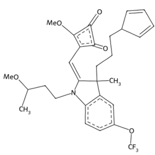 COc1c(/C=C2/N(CCC(C)OC)c3ccc(OC(F)(F)F)cc3C2(C)CCCC2C=CC=C2)c(=O)c1=O